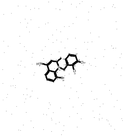 CC1C=C(N)c2cccc(Br)c2N1Cc1cccc(Cl)c1Cl